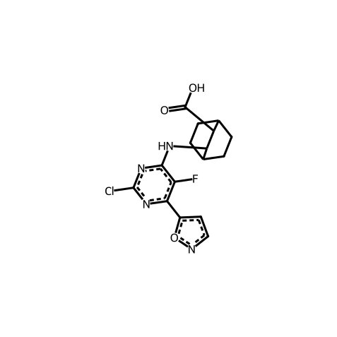 O=C(O)C1C2CCC(CC2)C1Nc1nc(Cl)nc(-c2ccno2)c1F